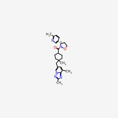 Cc1ccc([C@@H]2CCON2C(=O)C2CCC(C)(Cc3cc(C)c4nc(C)nn4c3)CC2)cn1